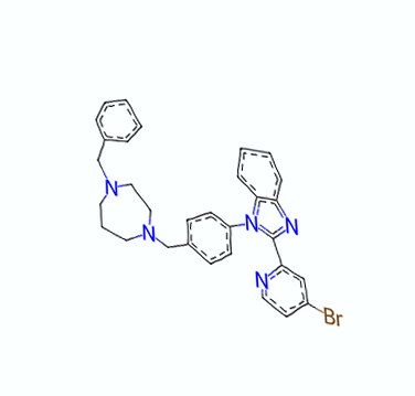 Brc1ccnc(-c2nc3ccccc3n2-c2ccc(CN3CCCN(Cc4ccccc4)CC3)cc2)c1